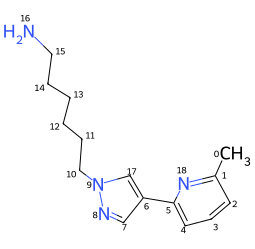 Cc1cccc(-c2cnn(CCCCCCN)c2)n1